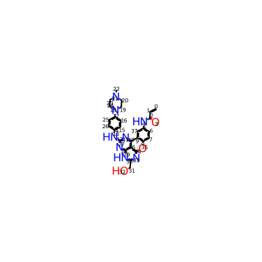 C=CC(=O)Nc1cccc(-c2nc(Nc3ccc(N4CCN(C)CC4)cc3)nc3[nH]c(CO)nc(=O)c23)c1